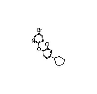 Clc1cc(C2CCCCC2)ccc1Oc1ccc(Br)cn1